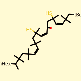 CCCCCCC(C)C(C)(C)CC(C)(C)/C=C\C(C)(C)CC(C)(S)/C=C\C(C)(C)CC(C)(S)/C=C\C(C)(C)CC(C)(C)C